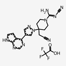 N#CCC1(n2cc(-c3ncnc4[nH]ccc34)cn2)CCN(/C(N)=N/C#N)CC1.O=C(O)C(F)(F)F